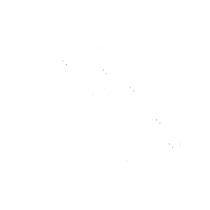 C[C@@H](c1ccc(C(F)(F)F)cn1)N(C)C(=O)c1cc2c3c(c(N)nc2cn1)COC3